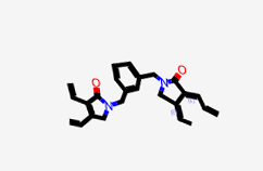 C=C/C=C1/C(=O)N(Cc2cccc(CN3CC(C=C)=C(C=C)C3=O)c2)C/C1=C/C